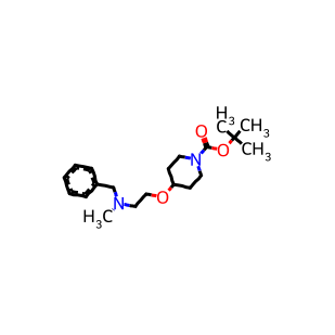 CN(CCOC1CCN(C(=O)OC(C)(C)C)CC1)Cc1ccccc1